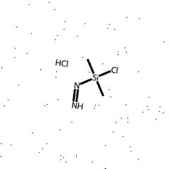 C[Si](C)(Cl)N=N.Cl